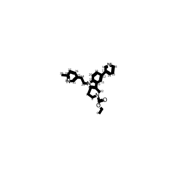 CCOC(=O)N1CCc2c(c3cc(-c4cccnc4)ccc3n2CCc2ccc(C)nc2)C1